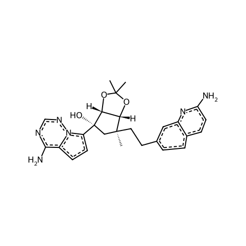 CC1(C)O[C@@H]2[C@H](O1)[C@@](C)(CCc1ccc3ccc(N)nc3c1)C[C@@]2(O)c1ccc2c(N)ncnn12